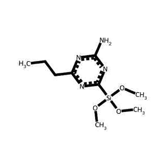 CCCc1nc(N)nc([Si](OC)(OC)OC)n1